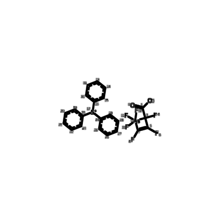 O=C([O-])C1(F)C(F)=C(F)[As]1(F)(F)F.c1ccc([S+](c2ccccc2)c2ccccc2)cc1